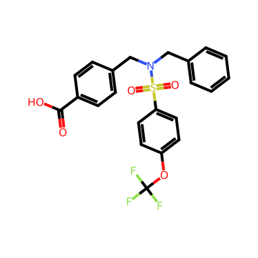 O=C(O)c1ccc(CN(Cc2ccccc2)S(=O)(=O)c2ccc(OC(F)(F)F)cc2)cc1